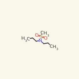 CCCN(CCC)S(C)(=O)=O